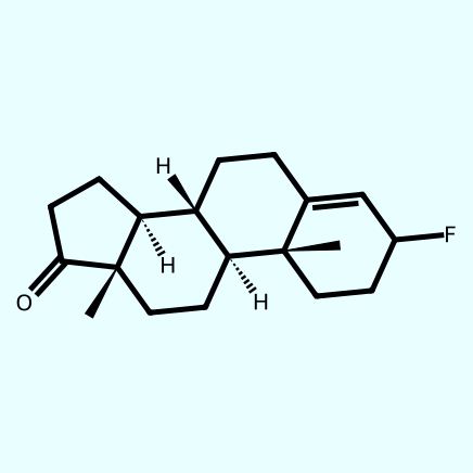 C[C@]12CCC(F)C=C1CC[C@@H]1[C@@H]2CC[C@]2(C)C(=O)CC[C@@H]12